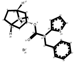 C[N+]1(C)[C@@H]2CC[C@H]1C[C@@H](OC(=O)N(Cc1ccccc1)c1cccs1)C2.[Br-]